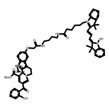 CCCN1/C(=C\C=C\C2=[N+](CCCCCC(=O)NCCCCNC(=O)COc3ccc4[nH]c5c(c4c3)CCN3C=C(C(=O)c4ccccc4O)C=C(C(=O)OC)[C@]53C(=O)OC)c3ccccc3C2(C)C)C(C)(C)c2ccccc21